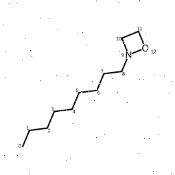 CCCCCCCCCN1CCO1